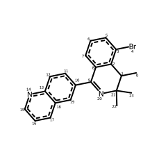 CC1c2c(Br)cccc2C(c2ccc3ncccc3c2)=NC1(C)C